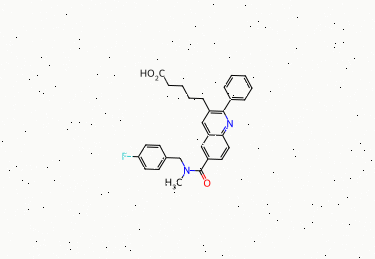 CN(Cc1ccc(F)cc1)C(=O)c1ccc2nc(-c3ccccc3)c(CCCCC(=O)O)cc2c1